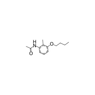 CCCCOc1cccc(NC(C)=O)c1C